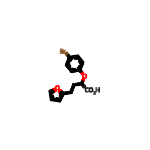 O=C(O)C(CCc1ccco1)Oc1ccc(Br)cc1